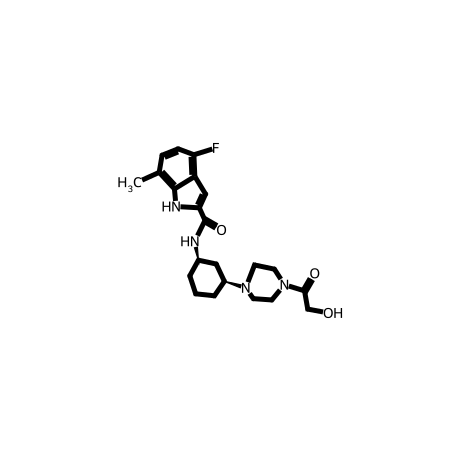 Cc1ccc(F)c2cc(C(=O)N[C@@H]3CCC[C@H](N4CCN(C(=O)CO)CC4)C3)[nH]c12